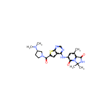 Cc1cc(Nc2ncnc3sc(C(=O)N4CC[C@@H](N(C)C)C4)cc23)c(=O)n2c1C(=O)NC2(C)C